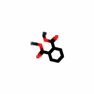 CC(C)OC(=O)C1CCCCC1C(=O)OC(C)C